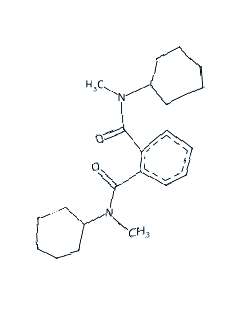 CN(C(=O)c1ccccc1C(=O)N(C)C1CCCCC1)C1CCCCC1